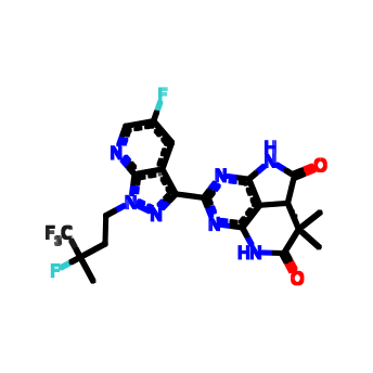 CC(F)(CCn1nc(-c2nc3c4c(n2)NC(=O)[C@@]4(C)C(C)(C)C(=O)N3)c2cc(F)cnc21)C(F)(F)F